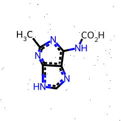 Cc1nc(NC(=O)O)c2nc[nH]c2n1